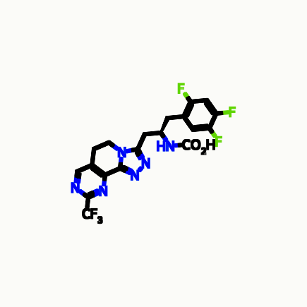 O=C(O)N[C@H](Cc1cc(F)c(F)cc1F)Cc1nnc2n1CCc1cnc(C(F)(F)F)nc1-2